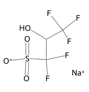 O=S(=O)([O-])C(F)(F)C(O)C(F)(F)F.[Na+]